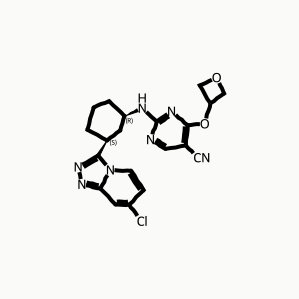 N#Cc1cnc(N[C@@H]2CCC[C@H](c3nnc4cc(Cl)ccn34)C2)nc1OC1COC1